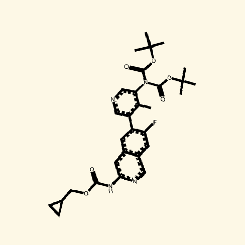 Cc1c(-c2cc3cc(NC(=O)OCC4CC4)ncc3cc2F)cncc1N(C(=O)OC(C)(C)C)C(=O)OC(C)(C)C